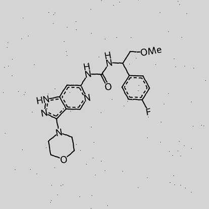 COCC(NC(=O)Nc1cc2[nH]nc(N3CCOCC3)c2cn1)c1ccc(F)cc1